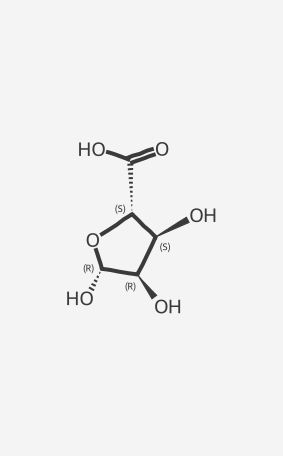 O=C(O)[C@H]1O[C@@H](O)[C@H](O)[C@@H]1O